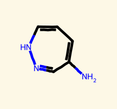 NC1=CC=CNN=C1